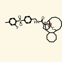 Cc1ccc(S(=O)(=O)c2ccc(CNC(=O)C3CC45CNC6(CCCCCCC(CCC6)C6CCCCCCC64)CC5N3)cc2)c(F)c1